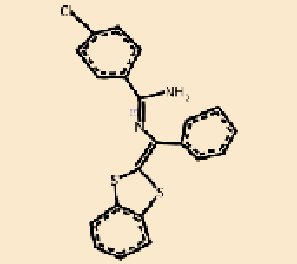 N/C(=N\C(=C1Sc2ccccc2S1)c1ccccc1)c1ccc(Cl)cc1